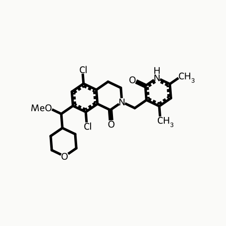 COC(c1cc(Cl)c2c(c1Cl)C(=O)N(Cc1c(C)cc(C)[nH]c1=O)CC2)C1CCOCC1